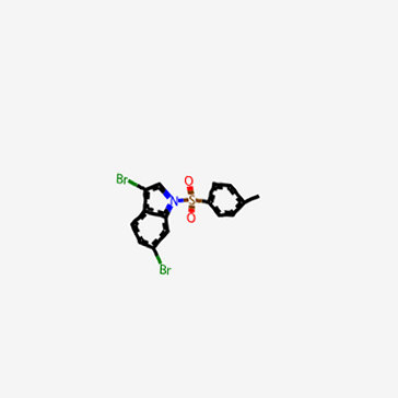 Cc1ccc(S(=O)(=O)n2cc(Br)c3ccc(Br)cc32)cc1